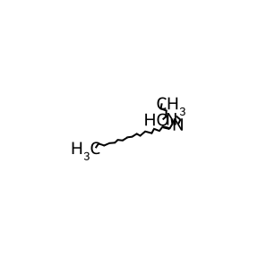 CCCCCCCCCCCCCCC/C=C/C1=NCCN1C(O)CCC